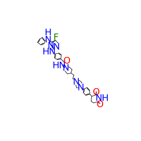 O=C1CCC(c2ccc(N3CCN(CCC4CCN(NC(=O)c5ccc(Nc6ncc(F)c(Nc7ccccc7)n6)cc5)CC4)CC3)cc2)C(=O)N1